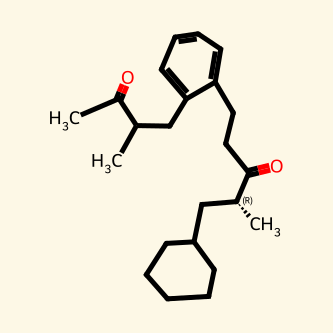 CC(=O)C(C)Cc1ccccc1CCC(=O)[C@H](C)CC1CCCCC1